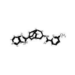 Cc1cccc(C(=O)NC2CC3CC4CC(c5nc6ccncc6[nH]5)(C3)CC4C2)n1